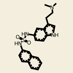 CN(C)CCc1c[nH]c2ccc(NS(=O)(=O)Nc3ccc4ccccc4c3)cc12